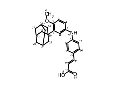 COc1ccc(Nc2ccc(C=CC(=O)O)cc2)cc1C12CC3CC(CC(C3)C1)C2